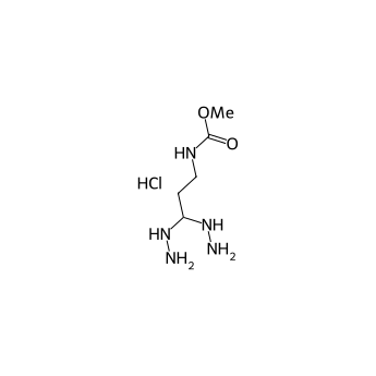 COC(=O)NCCC(NN)NN.Cl